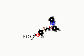 CCOC(=O)COc1ccc(SCCCOc2ccc(C)cc2-n2nc3ccccc3n2)cc1C